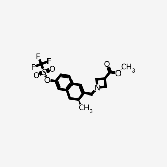 COC(=O)C1CN(CC2=Cc3ccc(OS(=O)(=O)C(F)(F)F)cc3C[C@@H]2C)C1